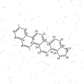 c1ccc2c(c1)ccc1c2ccc2c3ccc4sccc4c3ccc12